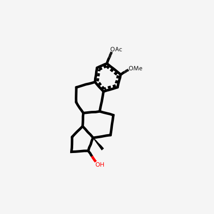 COc1cc2c(cc1OC(C)=O)CCC1C2CC[C@]2(C)C(O)CCC12